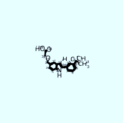 CC(C)(C)c1cccc(-c2cc3cc(COCC(=O)O)ccc3[nH]2)c1